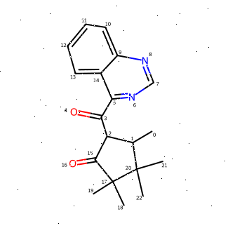 CC1C(C(=O)c2ncnc3ccccc23)C(=O)C(C)(C)C1(C)C